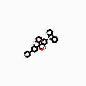 c1ccc2c(c1)Oc1cc(-c3ccncc3)ccc1C21c2ccccc2Oc2cc(-n3c4ccccc4c4cccnc43)ccc21